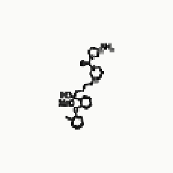 COC(O)(CCCC[C@@H]1CCCN(C(=O)N2CC[C@H](N)C2)C1)c1ccccc1Oc1ccccc1C